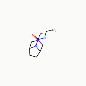 CC(C)N1CC2CCC(C1)N2C(=O)NCC(F)(F)F